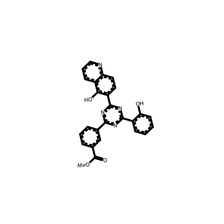 COC(=O)c1cccc(-c2nc(-c3ccccc3O)nc(-c3ccc4ncccc4c3O)n2)c1